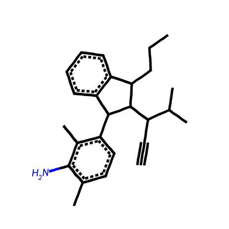 C#CC(C(C)C)C1C(CCC)c2ccccc2C1c1ccc(C)c(N)c1C